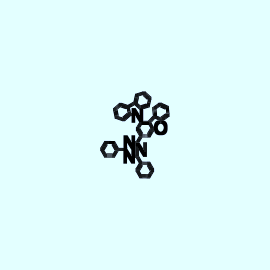 c1ccc(-c2nc(-c3ccccc3)nc(-c3cc(-n4c5ccccc5c5ccccc54)c4c(c3)oc3ccccc34)n2)cc1